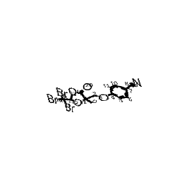 CC1(COc2ccc(C#N)cc2)OC(C(Br)(Br)Br)OC1=O